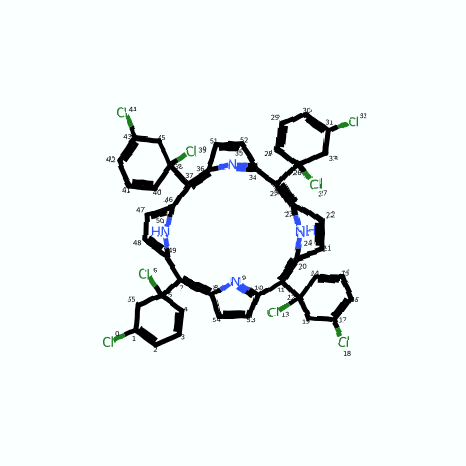 ClC1=CC=CC(Cl)(c2c3nc(c(C4(Cl)C=CC=C(Cl)C4)c4ccc([nH]4)c(C4(Cl)C=CC=C(Cl)C4)c4nc(c(C5(Cl)C=CC=C(Cl)C5)c5ccc2[nH]5)C=C4)C=C3)C1